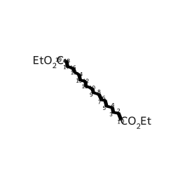 CCOC(=O)C=CC=CC=CC=CC=CC=CC=CC=CC=CC(=O)OCC